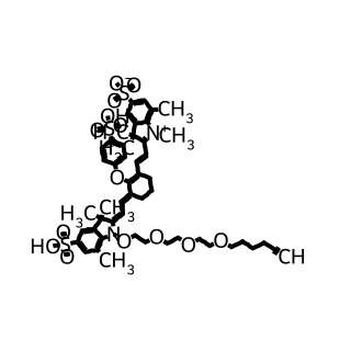 C#CCCCCOCCOCCOCCON1/C(=C/C=C2\CCCC(/C=C/C3=[N+](C)c4c(C)cc(S(=O)(=O)[O-])cc4C3(C)C)=C2Oc2ccc(S(=O)(=O)O)cc2)C(C)(C)c2cc(S(=O)(=O)O)cc(C)c21